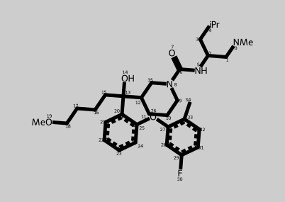 CNCC(CC(C)C)NC(=O)N1CCCC(C(O)(CCCCOC)c2ccccc2Oc2cc(F)ccc2C)C1